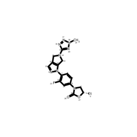 CC[C@H]1CN(c2ccc(-n3ncc4c3CN(c3nnn(C)n3)C4)c(F)c2)C(=O)O1